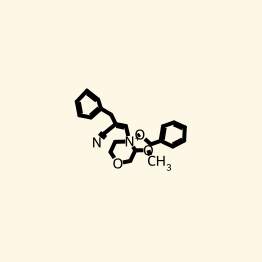 COC1COCC[N+]1(C=C(C#N)Cc1ccccc1)OCc1ccccc1